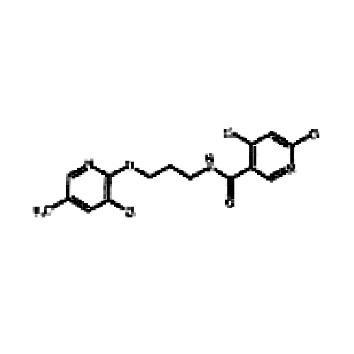 O=C(NCCCOc1ncc(C(F)(F)F)cc1Cl)c1cnc(Cl)cc1Cl